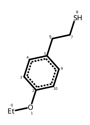 CCOc1ccc([CH]CS)cc1